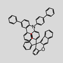 c1ccc(-c2ccc(N(c3ccc4c(c3)-c3ccccc3C43c4ccccc4Oc4cc5ccccc5cc43)c3ccc(-c4ccccc4)cc3-c3ccccc3)cc2)cc1